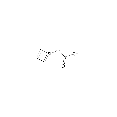 CC(=O)O[Si]1=CC=C1